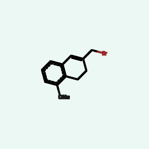 COc1cccc2c1CCC(CBr)=C2